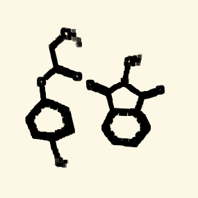 CCC(=O)Oc1ccc(Br)cc1.O=C1c2ccccc2C(=O)N1O